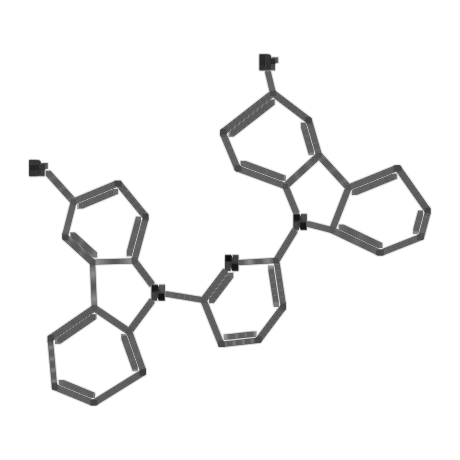 Brc1ccc2c(c1)c1ccccc1n2-c1cccc(-n2c3ccccc3c3cc(Br)ccc32)n1